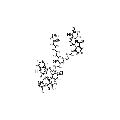 CC1=C(C)C2C(c3ccc(Cl)cc3)=N[C@@H](CC(=O)Nc3ccccc3OCCOCCN(CCOCCNc3cccc4c3C(=O)N(C3CCC(=O)NC3=O)C4=O)C(=O)CCCCCCC(=O)OC(C)(C)C)c3nnc(C)n3C2S1